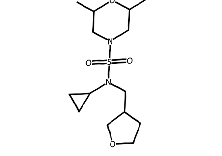 CC1CN(S(=O)(=O)N(CC2CCOC2)C2CC2)CC(C)O1